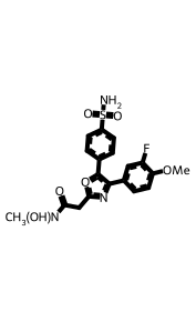 COc1ccc(-c2nc(CC(=O)N(C)O)oc2-c2ccc(S(N)(=O)=O)cc2)cc1F